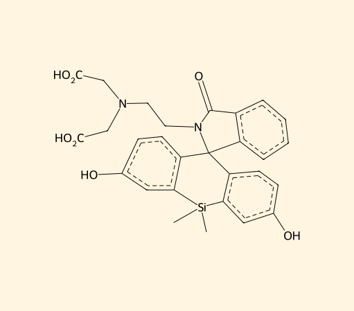 C[Si]1(C)c2cc(O)ccc2C2(c3ccccc3C(=O)N2CCN(CC(=O)O)CC(=O)O)c2ccc(O)cc21